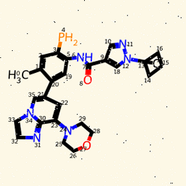 Cc1cc(P)c(NC(=O)c2cnn(C34CC(C3)C4)c2)cc1-c1cc(N2CCOCC2)c2nccn2c1